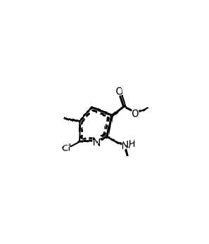 CNc1nc(Cl)c(C)cc1C(=O)OC